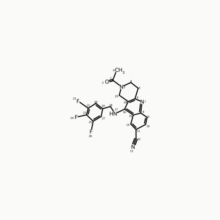 CC(=O)N1CCc2nc3ccc(C#N)cc3c(NCc3cc(F)c(F)c(F)c3)c2C1